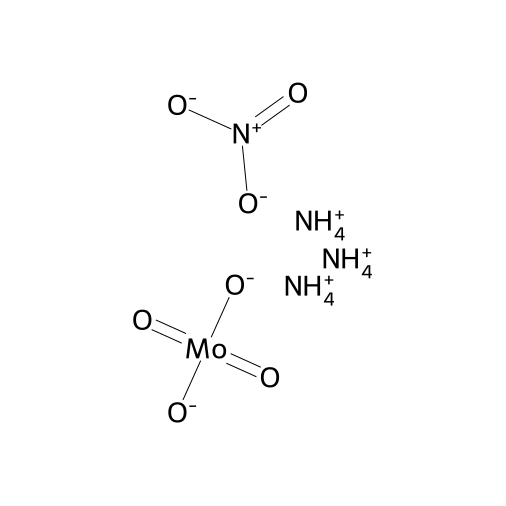 O=[N+]([O-])[O-].[NH4+].[NH4+].[NH4+].[O]=[Mo](=[O])([O-])[O-]